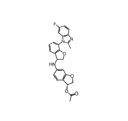 CC(=O)O[C@@H]1COc2cc(NC3COc4c3cccc4-n3c(C)nc4ccc(F)cc43)ccc21